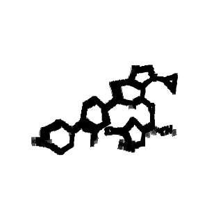 C[C@@H](Oc1nc(-c2ccc(N3CCNCC3)c(F)c2)cc2ncn(C3CC3)c12)[C@H]1CNC(=O)C1